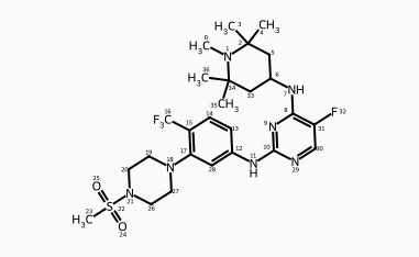 CN1C(C)(C)CC(Nc2nc(Nc3ccc(C(F)(F)F)c(N4CCN(S(C)(=O)=O)CC4)c3)ncc2F)CC1(C)C